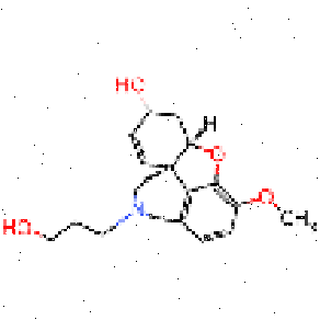 COc1ccc2c3c1O[C@H]1C[C@@H](O)C=C[C@@]31CCN(CCCO)C2